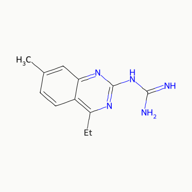 CCc1nc(NC(=N)N)nc2cc(C)ccc12